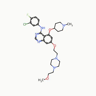 COCCN1CCN(CCOc2cc(OC3CCN(C)CC3)c3c(Nc4ccc(F)c(Cl)c4)ncnc3c2)CC1